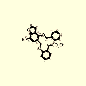 CCOC(=O)Cc1ccccc1OCc1cc(Br)c2occc2c1OCc1ccncc1